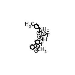 Cc1ccc(NC(=O)N2CC(F)(F)C[C@@H]2C(=O)Nc2ccc(-c3ccccc3S(C)(=O)=O)cc2F)cc1